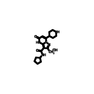 Cc1nn2c(C3CCNCC3)cc(=O)[nH]c2c1C(=O)NC1CCCC1.Cl